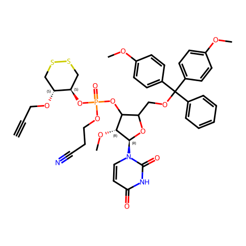 C#CCO[C@@H]1CSSC[C@H]1OP(=O)(OCCC#N)OC1C(COC(c2ccccc2)(c2ccc(OC)cc2)c2ccc(OC)cc2)O[C@@H](n2ccc(=O)[nH]c2=O)[C@@H]1OC